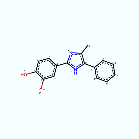 Cc1nc(-c2ccc(O)c(O)c2)[nH]c1-c1ccccc1